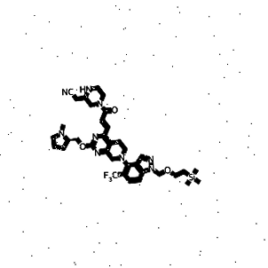 CN1CCC[C@@H]1COc1nc(C=CC(=O)N2CCNC(CC#N)C2)c2c(n1)CN(c1c(C(F)(F)F)ccc3c1cnn3COCC[Si](C)(C)C)CC2